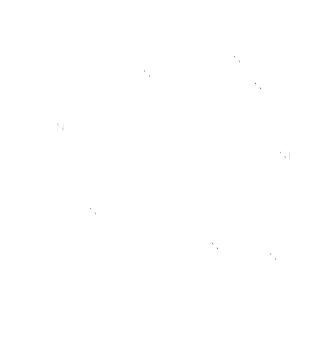 C=C(CC(C)C)Nc1cncc(-c2cc3c(-c4cc5c(N6CCCCC6)nccc5[nH]4)n[nH]c3cn2)c1